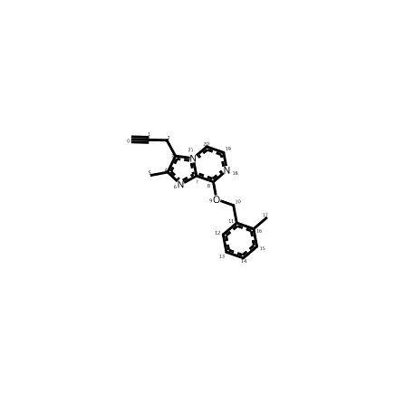 C#CCc1c(C)nc2c(OCc3ccccc3C)nccn12